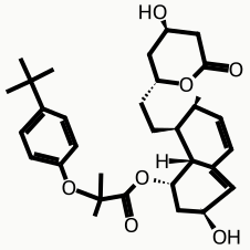 C[C@H]1C=CC2=C[C@@H](O)C[C@H](OC(=O)C(C)(C)Oc3ccc(C(C)(C)C)cc3)[C@@H]2[C@H]1CC[C@@H]1C[C@@H](O)CC(=O)O1